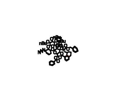 CCCCOC1C(C)OC(OC2C(N=[N+]=[N-])C=CCC2OC2OC(COC(=O)c3ccccc3)C(OC(=O)c3ccccc3)C(O[C@@H](CC3CCCCC3)C(=O)OCc3ccccc3)C2OC(=O)c2ccccc2)C(OCCCC)C1OCCCC